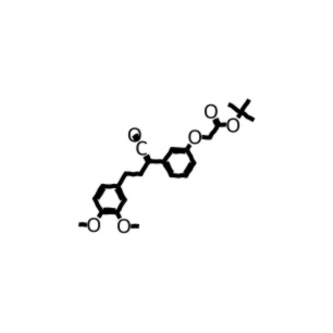 COc1ccc(CCC(=C=O)c2cccc(OCC(=O)OC(C)(C)C)c2)cc1OC